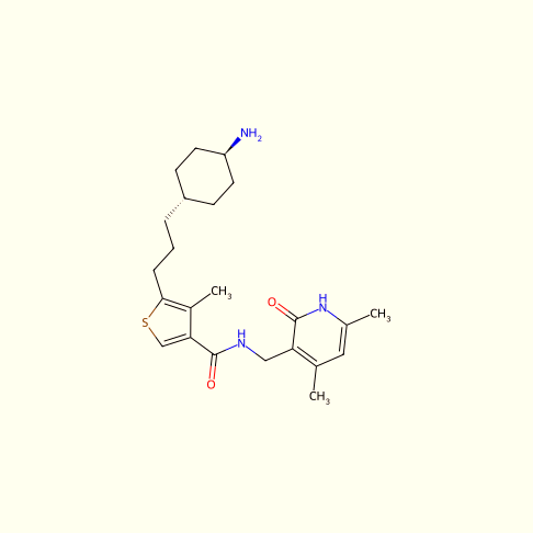 Cc1cc(C)c(CNC(=O)c2csc(CCC[C@H]3CC[C@H](N)CC3)c2C)c(=O)[nH]1